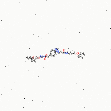 CC(C)OCCCCCCNC(=O)CCCn1nnc2c1CCC1C(CC2)C1COC(=O)NCCOCCOC(C)C